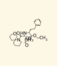 CCOC(=O)[C@H](CCc1ccccc1)NC(C)C(=O)N1[C@H](C(=O)O)CCCC12CCCOC2